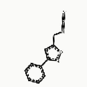 [N-]=[N+]=NCc1cc(-c2ccccc2)no1